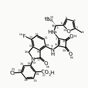 Cc1ccc([C@H](Nc2c(Nc3ccc(F)c4c3C(=O)N(c3cc(Cl)ccc3C(=O)O)C4)c(=O)c2=O)C(C)(C)C)o1